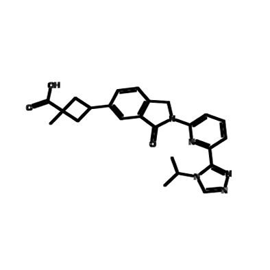 CC(C)n1cnnc1-c1cccc(N2Cc3ccc(C4CC(C)(C(=O)O)C4)cc3C2=O)n1